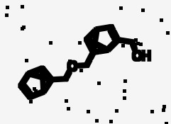 OCC1=CC2C=C(COCC3=CC4C=CC3C4)C1C2